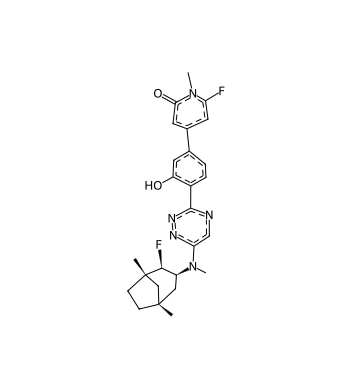 CN(c1cnc(-c2ccc(-c3cc(F)n(C)c(=O)c3)cc2O)nn1)[C@H]1C[C@]2(C)CC[C@@](C)(C2)[C@H]1F